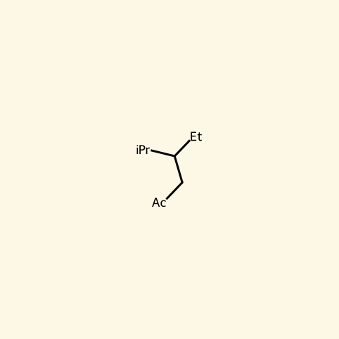 CCC(CC(C)=O)C(C)C